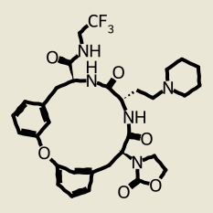 O=C(NCC(F)(F)F)[C@@H]1Cc2cccc(c2)Oc2cccc(c2)C[C@H](N2CCOC2=O)C(=O)N[C@@H](CCN2CCCCC2)C(=O)N1